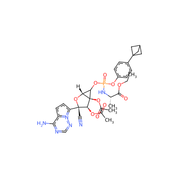 CCOC(=O)[C@H](C)NP(=O)(Oc1ccc(C23CC(C2)C3)cc1)OC1[C@H]2O[C@@](C#N)(c3ccc4c(N)ncnn34)[C@H](OC(C)=O)[C@@]12OC(C)=O